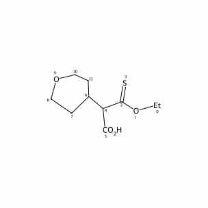 CCOC(=S)C(C(=O)O)C1CCOCC1